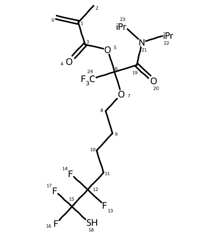 C=C(C)C(=O)OC(OCCCCC(F)(F)C(F)(F)S)(C(=O)N(C(C)C)C(C)C)C(F)(F)F